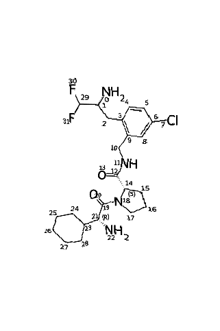 NC(Cc1ccc(Cl)cc1CNC(=O)[C@@H]1CCCN1C(=O)[C@H](N)C1CCCCC1)C(F)F